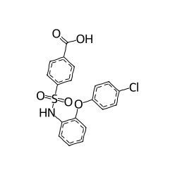 O=C(O)c1ccc(S(=O)(=O)Nc2ccccc2Oc2ccc(Cl)cc2)cc1